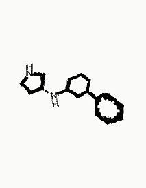 c1ccc(C2CCCC(N[C@@H]3CCNC3)C2)cc1